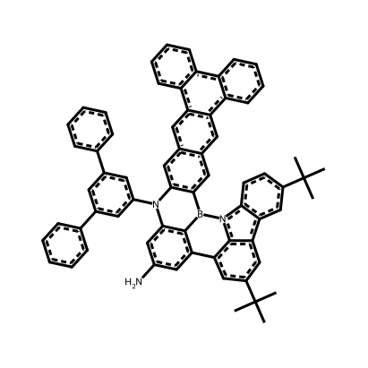 CC(C)(C)c1ccc2c(c1)c1cc(C(C)(C)C)cc3c1n2B1c2cc4cc5c6ccccc6c6ccccc6c5cc4cc2N(c2cc(-c4ccccc4)cc(-c4ccccc4)c2)c2cc(N)cc-3c21